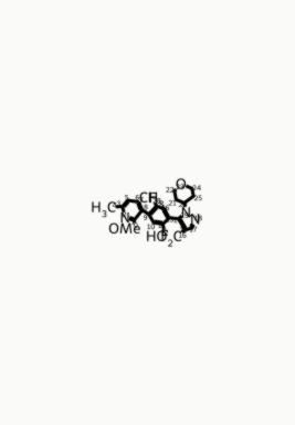 COc1nc(C)cc(C)c1-c1cc(F)c(-c2c(C(=O)O)cnn2C2CCOCC2)cc1F